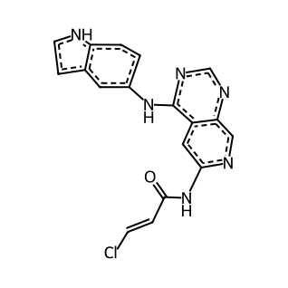 O=C(C=CCl)Nc1cc2c(Nc3ccc4[nH]ccc4c3)ncnc2cn1